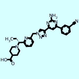 CC[C@H](c1cccc(Cn2cc(-c3cc(-c4cccc(C#N)c4)nc(N)n3)nn2)n1)N1CCC(C(=O)O)CC1